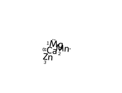 [Ca].[Mg].[Mn].[Zn]